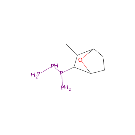 CC1C2CCC(O2)C1P(P)PP